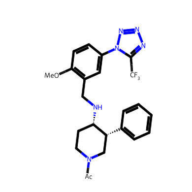 COc1ccc(-n2nnnc2C(F)(F)F)cc1CN[C@H]1CCN(C(C)=O)C[C@H]1c1ccccc1